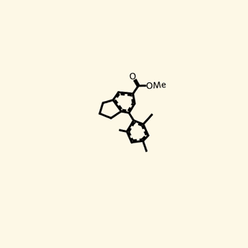 COC(=O)c1cc2c(c(-c3c(C)cc(C)cc3C)c1)CCC2